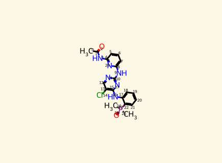 CC(=O)Nc1cccc(Nc2ncc(Cl)c(Nc3ccccc3P(C)(C)=O)n2)n1